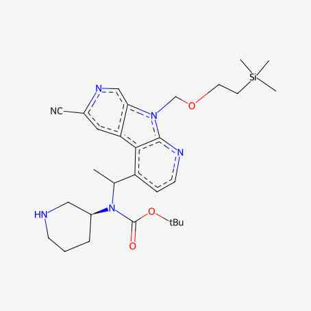 CC(c1ccnc2c1c1cc(C#N)ncc1n2COCC[Si](C)(C)C)N(C(=O)OC(C)(C)C)[C@H]1CCCNC1